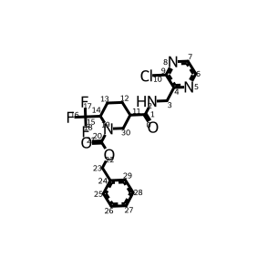 O=C(NCc1nccnc1Cl)C1CCC(C(F)(F)F)N(C(=O)OCc2ccccc2)C1